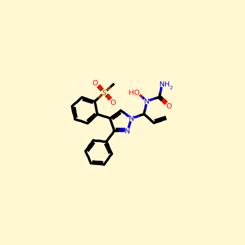 C=CC(N(O)C(N)=O)n1cc(-c2ccccc2S(C)(=O)=O)c(-c2ccccc2)n1